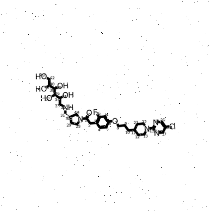 O=C(Cc1ccc(OCCCC2CCN(c3ncc(Cl)cn3)CC2)cc1F)N1CC[C@H](CNCC(O)C(O)C(O)C(O)CO)C1